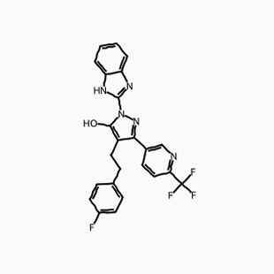 Oc1c(CCc2ccc(F)cc2)c(-c2ccc(C(F)(F)F)nc2)nn1-c1nc2ccccc2[nH]1